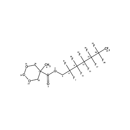 CC1(C(=O)OCC(F)(F)C(F)(F)C(F)(F)C(F)(F)C(F)(F)C(F)(F)F)COOOC1